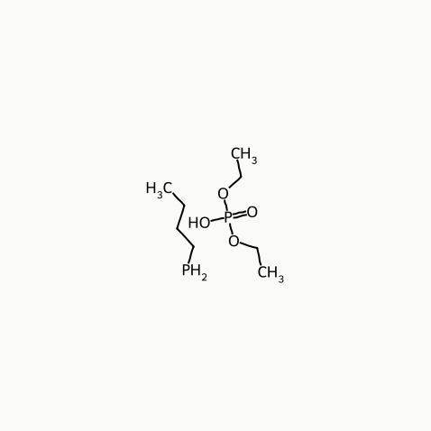 CCCCP.CCOP(=O)(O)OCC